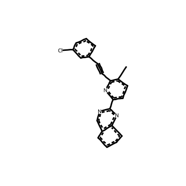 Cc1ccc(-c2ncc3ccccc3n2)nc1C#Cc1cccc(Cl)c1